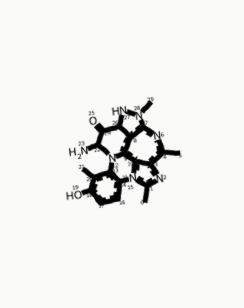 Cc1nc2c(C)nc3c4c(c-2n1)N(c1c(C)ccc(O)c1C)C(N)C(=O)C4NN3C